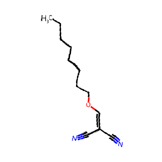 CCCCCCCCOC=C(C#N)C#N